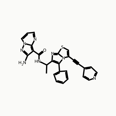 CC(NC(=O)c1c(N)nn2cccnc12)c1nc2scc(C#Cc3ccncc3)n2c1-c1ccccc1